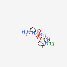 C[C@@H]1CN(c2nc(Cl)ncc2C(=O)NS(=O)(=O)c2cccc(N)n2)C(C)(C)C1